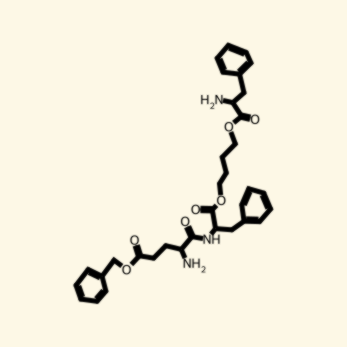 NC(CCC(=O)OCc1ccccc1)C(=O)NC(Cc1ccccc1)C(=O)OCCCCOC(=O)C(N)Cc1ccccc1